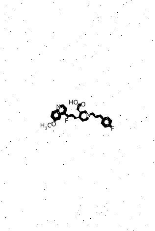 COc1ccc2nccc([C@@H](F)CC[C@@H]3CCN(CCCc4ccc(F)cc4)C[C@@H]3CC(=O)O)c2c1